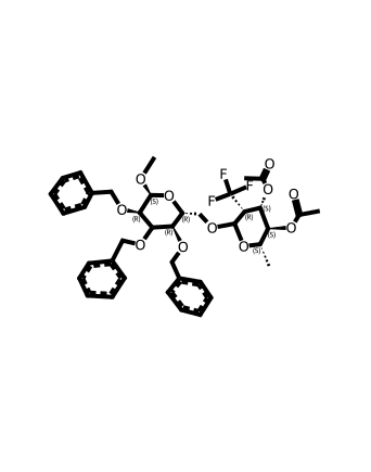 CO[C@H]1O[C@H](COC2O[C@@H](C)[C@H](OC(C)=O)[C@@H](OC(C)=O)[C@H]2C(F)(F)F)[C@@H](OCc2ccccc2)C(OCc2ccccc2)[C@H]1OCc1ccccc1